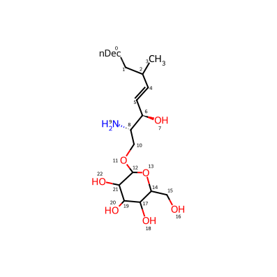 CCCCCCCCCCCC(C)/C=C/[C@@H](O)[C@@H](N)COC1OC(CO)C(O)C(O)C1O